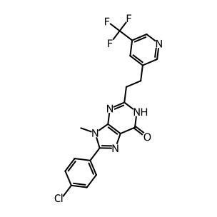 Cn1c(-c2ccc(Cl)cc2)nc2c(=O)[nH]c(CCc3cncc(C(F)(F)F)c3)nc21